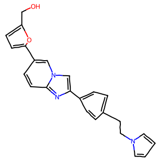 OCc1ccc(-c2ccc3nc(-c4ccc(CCn5cccc5)cc4)cn3c2)o1